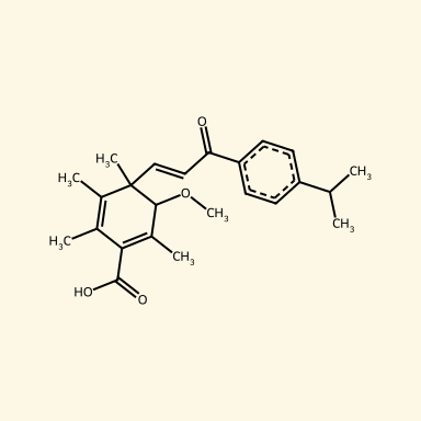 COC1C(C)=C(C(=O)O)C(C)=C(C)C1(C)C=CC(=O)c1ccc(C(C)C)cc1